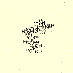 O.O.O.O=P(O)(O)O.O=P(O)(O)O.O=P(O)(O)O.[KH].[KH].[KH]